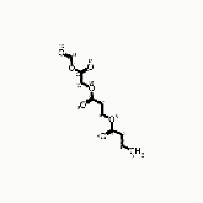 CCCC(=O)OCCC(=O)OCC(=O)OC=O